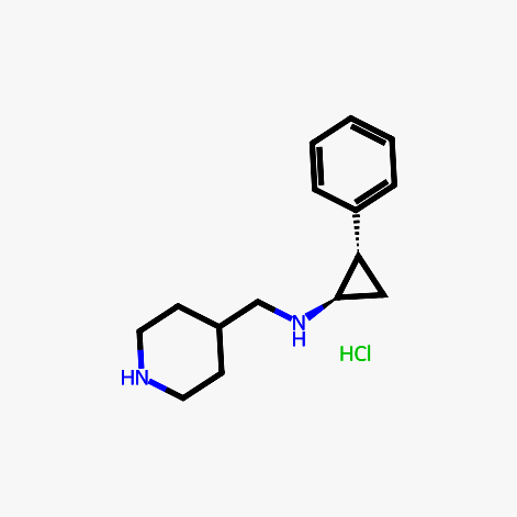 Cl.c1ccc([C@@H]2C[C@H]2NCC2CCNCC2)cc1